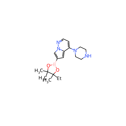 CCC1(C)OB(c2cc3c(N4CCNCC4)ccnn3c2)OC1(C)C